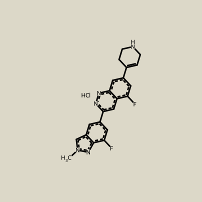 Cl.Cn1cc2cc(-c3cc4c(F)cc(C5=CCNCC5)cc4nn3)cc(F)c2n1